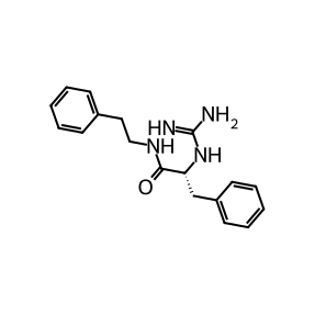 N=C(N)N[C@H](Cc1ccccc1)C(=O)NCCc1ccccc1